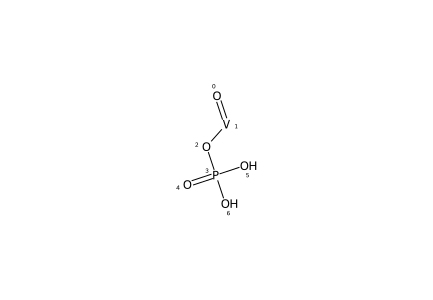 [O]=[V][O]P(=O)(O)O